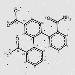 NC(=O)c1ccccc1-c1ccc(C(=O)O)cc1-c1ccccc1C(N)=O